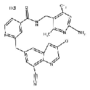 Cc1cc(N)nc(C)c1CNC(=O)c1ccnc(Cc2cc(C#N)c3ncc(Cl)cc3c2)c1.Cl